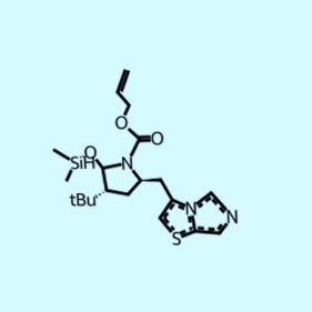 C=CCOC(=O)N1C(O[SiH](C)C)[C@@H](C(C)(C)C)C[C@@H]1Cc1csc2cncn12